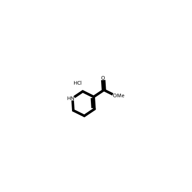 COC(=O)C1=CCCNC1.Cl